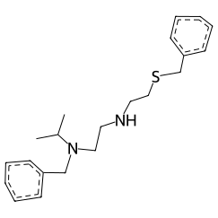 CC(C)N(CCNCCSCc1ccccc1)Cc1ccccc1